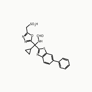 O=CNC(c1nnc(CS(=O)(=O)O)o1)(c1nc2ccc(-c3ccccc3)cc2s1)C1CC1